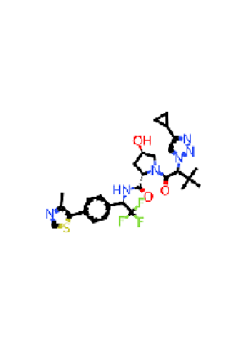 Cc1ncsc1-c1ccc([C@@H](NC(=O)[C@@H]2C[C@@H](O)CN2C(=O)C(n2cc(C3CC3)nn2)C(C)(C)C)C(F)(F)F)cc1